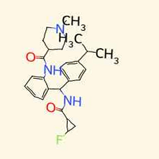 CC(C)c1ccc(C(NC(=O)C2CC2F)c2ccccc2NC(=O)C2CCN(C)CC2)cc1